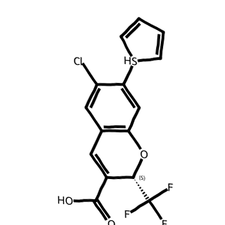 O=C(O)C1=Cc2cc(Cl)c([SH]3C=CC=C3)cc2O[C@@H]1C(F)(F)F